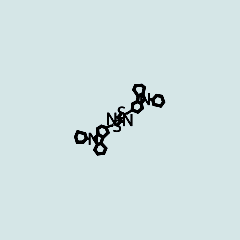 c1ccc(-n2c3ccccc3c3cc(-c4nc5sc(-c6ccc7c(c6)c6ccccc6n7-c6ccccc6)nc5s4)ccc32)cc1